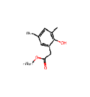 CCCCCCCCCOC(=O)Cc1cc(C(C)(C)C)cc(C)c1O